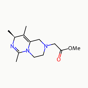 COC(=O)CN1CCN2C(C)=N[C@@H](C)C(C)=C2C1